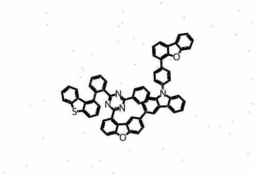 c1ccc(-c2nc(-c3ccccc3-c3cccc4sc5ccccc5c34)nc(-c3cccc4oc5ccc(-c6ccc7c(c6)c6ccccc6n7-c6ccc(-c7cccc8c7oc7ccccc78)cc6)cc5c34)n2)cc1